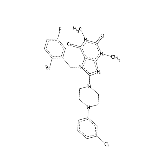 Cn1c(=O)c2c(nc(N3CCN(c4cccc(Cl)c4)CC3)n2Cc2cc(F)ccc2Br)n(C)c1=O